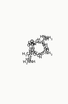 CC(=O)N[C@@H](CCCNC(=N)N)C(=O)NC1CCC(=O)NCCCC(C(N)=O)NC(=O)CNC(=O)[C@H](CCCNC(=N)N)NC(=O)C(Cc2ccccc2)NC(=O)[C@H](CC[S+](C)[O-])NC1=O